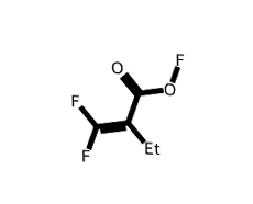 CCC(C(=O)OF)=C(F)F